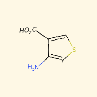 Nc1[c]scc1C(=O)O